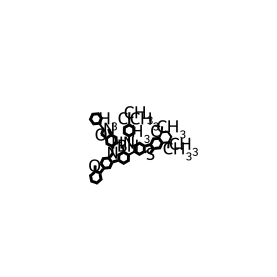 CC(C)(C)c1ccc(Nc2cc3c(cc2-c2ccc4c5cc6c(cc5n5c4c2Bc2cc4nc(-c7ccccc7)oc4cc2-5)oc2ccccc26)sc2cc4c(cc23)C(C)(C)CCC4(C)C)cc1